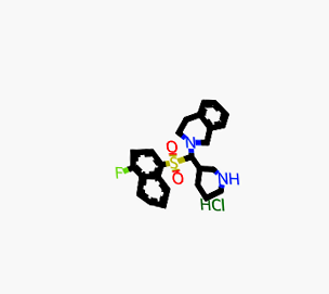 Cl.O=S(=O)(c1ccc(F)c2ccccc12)C(C1CCCNC1)N1CCc2ccccc2C1